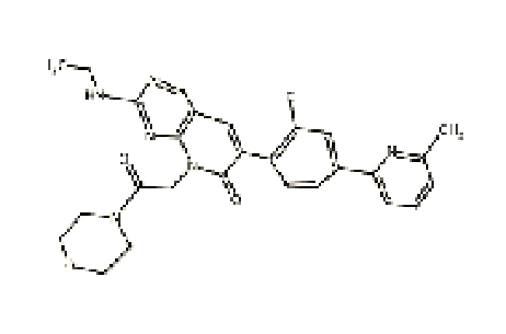 CCNc1ncc2cc(-c3ccc(-c4cccc(C)n4)cc3Cl)c(=O)n(CC(=O)N3CCOCC3)c2n1